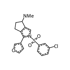 CNC1CCc2c1cn(S(=O)(=O)c1cccc(Cl)c1)c2-c1ccoc1